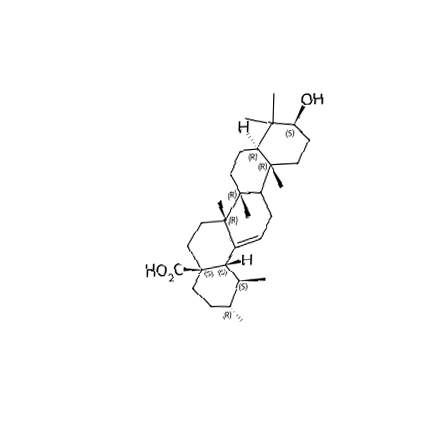 C[C@H]1[C@H](C)CC[C@]2(C(=O)O)CC[C@@]3(C)C(=CCC4[C@@]5(C)CC[C@H](O)C(C)(C)[C@@H]5CC[C@]43C)[C@H]12